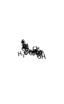 COc1cc2c(cc1OC[C@@H](O)CC(=O)N1C[C@@H](CCl)c3c1cc(O)c1ccccc31)N=C[C@@H]1CC(c3ccsc3)=CCN1C2=O